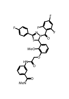 CNC(=O)c1cccc(NC(=O)COc2cccc(C3SC(c4ccc(F)cc4)=NN3C(=O)c3c(F)cc(F)cc3F)c2OC)c1